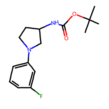 CC(C)(C)OC(=O)NC1CCN(c2cccc(F)c2)C1